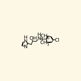 CC(C)(NCC(O)Cc1ncc[nH]1)c1ccc(Cl)cc1